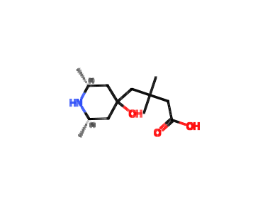 C[C@@H]1CC(O)(CC(C)(C)CC(=O)O)C[C@H](C)N1